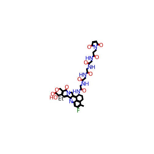 CC[C@@]1(O)C(=O)OCc2c1cc1n(c2=O)Cc2c-1nc1cc(F)c(C)c3c1c2[C@@H](NC(=O)CNC(=O)CNC(=O)CNC(=O)CNC(=O)CCN1C(=O)C=CC1=O)CC3